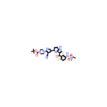 CCN(C)S(=O)(=O)Nc1ccc(F)c(C(=O)c2c[nH]c3ccc(-c4cnc(N5CCN(C(=O)OC(C)(C)C)CC5)c(C#N)c4)nc23)c1F